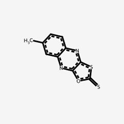 Cc1ccc2nc3sc(=S)oc3nc2c1